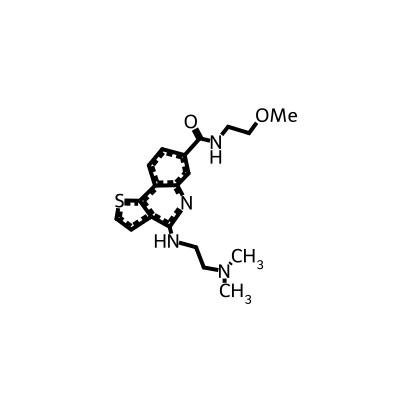 COCCNC(=O)c1ccc2c(c1)nc(NCCN(C)C)c1ccsc12